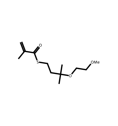 C=C(C)C(=O)SCCC(C)(C)OCCOC